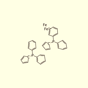 [Fe+2].[Fe].c1ccc(P(c2ccccc2)[c-]2cccc2)cc1.c1ccc(P(c2ccccc2)[c-]2cccc2)cc1